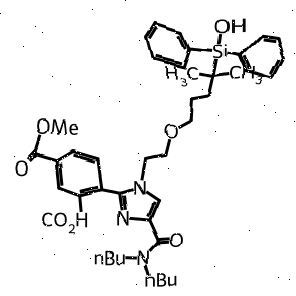 CCCCN(CCCC)C(=O)c1cn(CCOCCCC(C)(C)[Si](O)(c2ccccc2)c2ccccc2)c(-c2ccc(C(=O)OC)cc2C(=O)O)n1